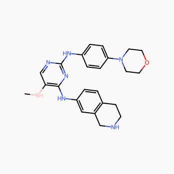 CBc1cnc(Nc2ccc(N3CCOCC3)cc2)nc1Nc1ccc2c(c1)CNCC2